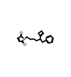 O=C1C=CC(=O)N1CCCCC(Cc1ccccc1)C1=CCC1